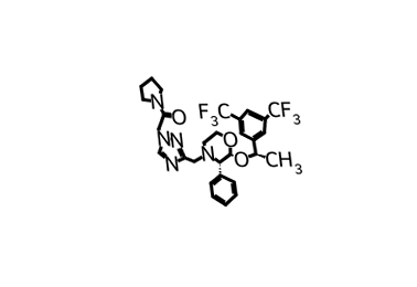 C[C@@H](O[C@H]1OCCN(Cc2ncn(CC(=O)N3CCCC3)n2)[C@H]1c1ccccc1)c1cc(C(F)(F)F)cc(C(F)(F)F)c1